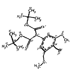 COc1nc(N(C(=O)OC(C)(C)C)C(=O)OC(C)(C)C)nc(OC)c1Br